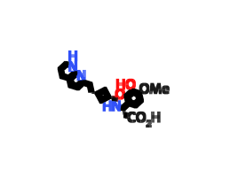 COc1ccc([C@H](CC(=O)O)NC(=O)[C@H]2C[C@@H](CCc3ccc4c(n3)NCCC4)C2)cc1O